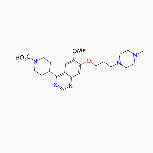 COc1cc2c(C3CCN(C(=O)O)CC3)ncnc2cc1OCCCN1CCN(C)CC1